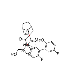 COc1ccc(F)cc1-c1c(F)cnc2[nH]c(C3=CC4CCC(C3)N4CC(=O)N3CCC[C@H]3CO)cc12